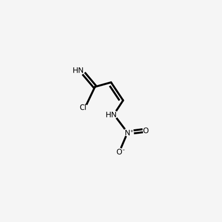 N=C(Cl)/C=C\N[N+](=O)[O-]